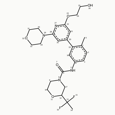 Cc1ccc(NC(=O)N2CCOC(C(C)(F)F)C2)cc1-c1cc(OCCO)nc(N2CCOCC2)c1